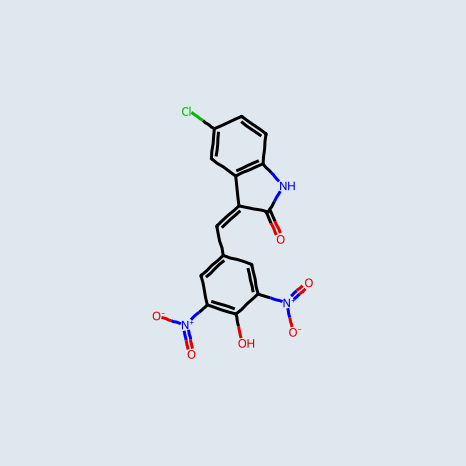 O=C1Nc2ccc(Cl)cc2/C1=C/c1cc([N+](=O)[O-])c(O)c([N+](=O)[O-])c1